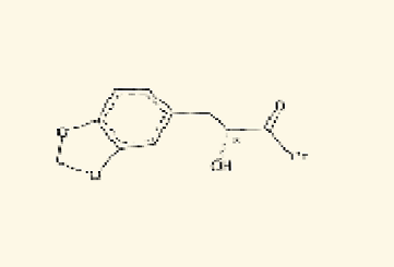 CC(C)C(=O)[C@H](O)Cc1ccc2c(c1)OCO2